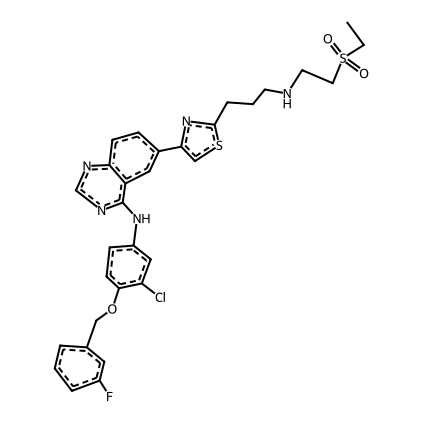 CCS(=O)(=O)CCNCCCc1nc(-c2ccc3ncnc(Nc4ccc(OCc5cccc(F)c5)c(Cl)c4)c3c2)cs1